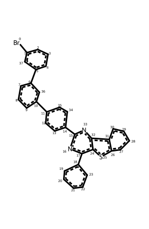 Brc1cccc(-c2cccc(-c3ccc(-c4nc(-c5ccccc5)c5sc6ccccc6c5n4)cc3)c2)c1